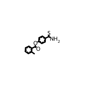 Cc1ccccc1C(=O)Oc1ccc(C(N)=S)cc1